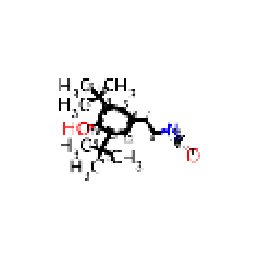 CC(C)(C)c1cc(CCN=C=O)cc(C(C)(C)C)c1O